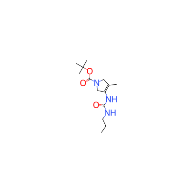 CCCNC(=O)NC1=C(C)CN(C(=O)OC(C)(C)C)C1